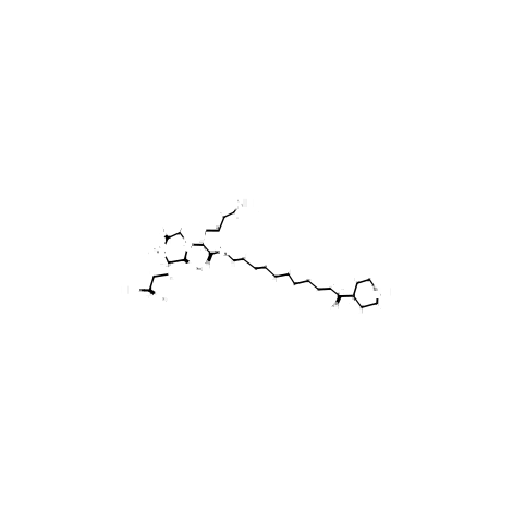 CN1C(=O)CN([C@@H](CCCCN)C(=O)NCCCCCCCCCCC(=O)C2CCNCC2)C(=O)[C@@H]1CCC(=O)O